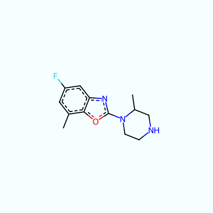 Cc1cc(F)cc2nc(N3CCNCC3C)oc12